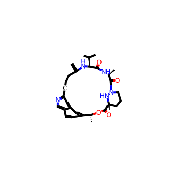 C=C1CCCc2cc3cc(ccc3cn2)[C@@H](C)OC(=O)[C@@H]2CCCN(N2)C(=O)[C@H](C)NC(=O)[C@H](C(C)C)N1